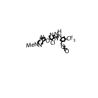 CNc1cn2ncc(Oc3cnc4nc(Nc5cc(CN6CC7(COC7)C6)cc(C(F)(F)F)c5)n(C)c4c3Cl)c2cn1